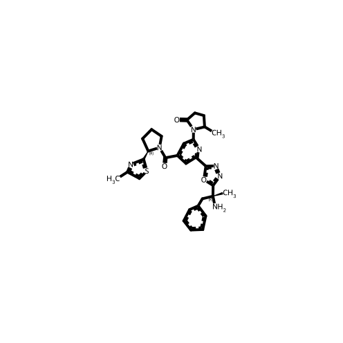 Cc1csc([C@H]2CCCN2C(=O)c2cc(-c3nnc([C@](C)(N)Cc4ccccc4)o3)nc(N3C(=O)CCC3C)c2)n1